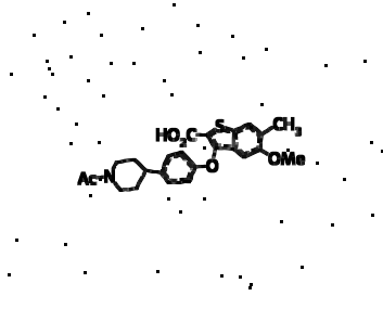 COc1cc2c(Oc3ccc(C4CCN(C(C)=O)CC4)cc3)c(C(=O)O)sc2cc1C